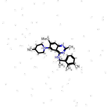 COc1cc2nc(C)nc(N[C@H](C)c3cccc(C#N)c3C)c2cc1N1CCC(C#N)CC1